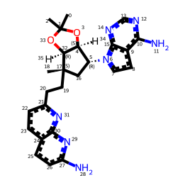 CC1(C)O[C@H]2[C@H](n3ccc4c(N)ncnc43)C[C@](C)(CCc3ccc4ccc(N)nc4n3)[C@H]2O1